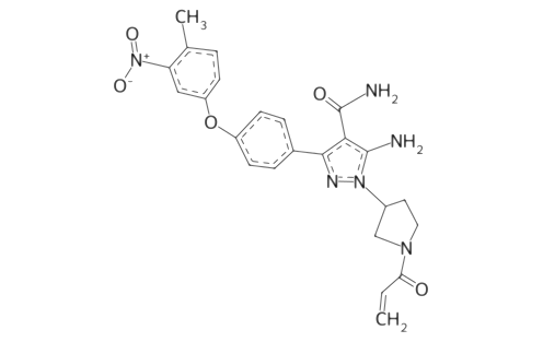 C=CC(=O)N1CCC(n2nc(-c3ccc(Oc4ccc(C)c([N+](=O)[O-])c4)cc3)c(C(N)=O)c2N)C1